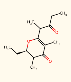 CCC(=O)C(C)C1=C(C)C(=O)C(C)[C@@H](CC)O1